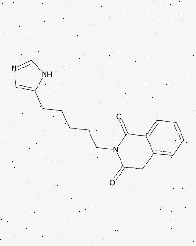 O=C1Cc2ccccc2C(=O)N1CCCCCc1cnc[nH]1